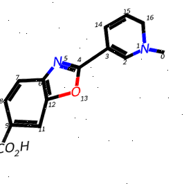 CN1C=C(c2nc3ccc(C(=O)O)cc3o2)C=CC1